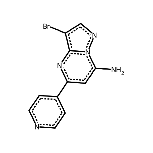 Nc1cc(-c2ccncc2)nc2c(Br)cnn12